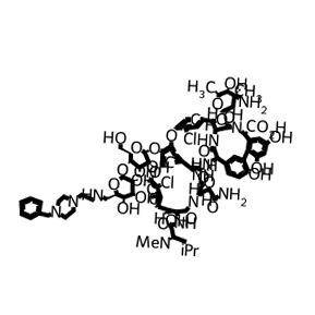 CN[C@H](CC(C)C)C(=O)NC1C(=O)N[C@@H](CC(N)=O)C(=O)N[C@H]2C(=O)N[C@H]3C(=O)N[C@H](C(=O)N[C@@H](C(=O)O)c4cc(O)cc(O)c4-c4cc3ccc4O)[C@H](OC3C[C@](C)(N)[C@@H](O)[C@H](C)O3)c3ccc(c(Cl)c3)Oc3cc2cc(c3O[C@@H]2O[C@H](CO)[C@@H](O[C@@H]3O[C@H](CNCCN4CCN(Cc5ccccc5)CC4)[C@H](O)[C@H](O)[C@H]3O)[C@H](O)[C@H]2O)Oc2ccc(cc2Cl)[C@H]1O